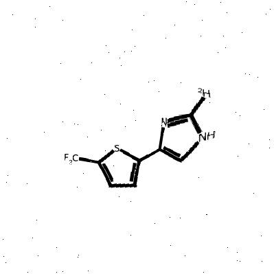 [2H]c1nc(-c2ccc(C(F)(F)F)s2)c[nH]1